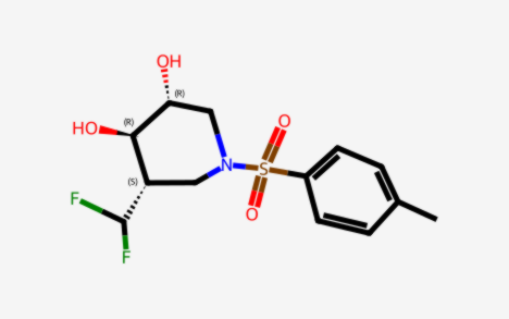 Cc1ccc(S(=O)(=O)N2C[C@@H](O)[C@H](O)[C@@H](C(F)F)C2)cc1